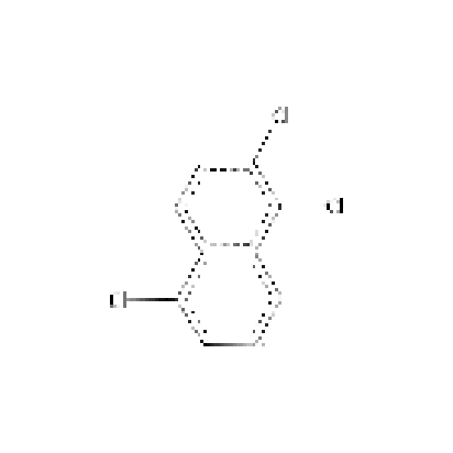 Clc1[c]cc2c(Cl)c[c]cc2c1Cl